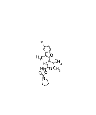 Cc1c([C@@H](NC(=O)NOC(=O)N2CCCCC2)C(C)C)oc2ccc(F)cc12